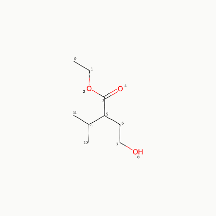 CCOC(=O)C(CCO)C(C)C